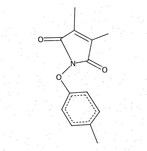 CC1=C(C)C(=O)N(Oc2ccc(C)cc2)C1=O